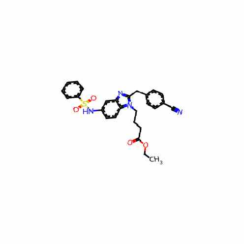 CCOC(=O)CCCn1c(Cc2ccc(C#N)cc2)nc2cc(NS(=O)(=O)c3ccccc3)ccc21